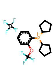 FC(F)(F)Oc1ccccc1[PH+](C1CCCC1)C1CCCC1.F[B-](F)(F)F